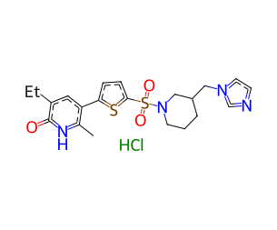 CCc1cc(-c2ccc(S(=O)(=O)N3CCCC(Cn4ccnc4)C3)s2)c(C)[nH]c1=O.Cl